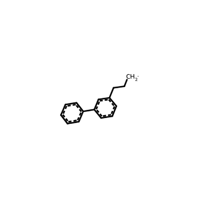 [CH2]CCc1cccc(-c2ccccc2)c1